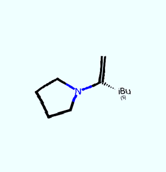 C=C([C@@H](C)CC)N1CCCC1